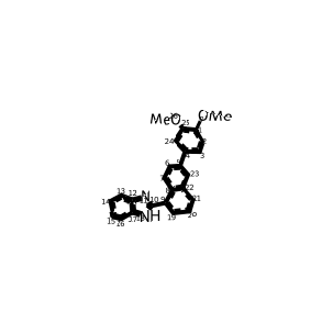 COc1ccc(-c2ccc3c(-c4nc5ccccc5[nH]4)cccc3c2)cc1OC